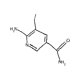 NC(=O)c1cnc(N)c(I)c1